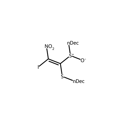 CCCCCCCCCCSC(=C(I)[N+](=O)[O-])[S+]([O-])CCCCCCCCCC